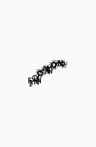 FC(F)c1nnc(-c2ccc(Cn3cc(-c4ccc(CN5CCCC5)cc4)nn3)cc2)o1